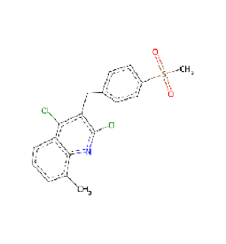 Cc1cccc2c(Cl)c(Cc3ccc(S(C)(=O)=O)cc3)c(Cl)nc12